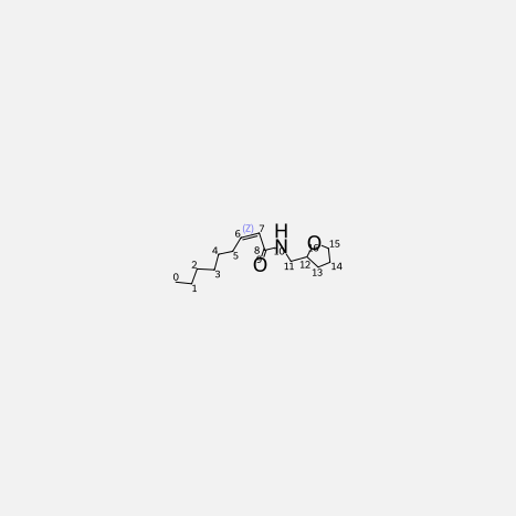 CCCCCC/C=C\C(=O)NCC1CCCO1